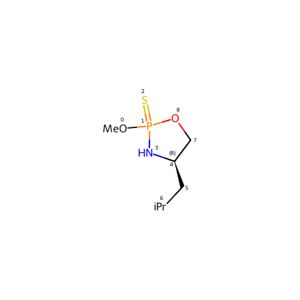 COP1(=S)N[C@H](CC(C)C)CO1